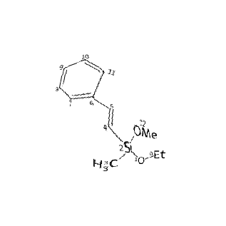 CCO[Si](C)(C=Cc1ccccc1)OC